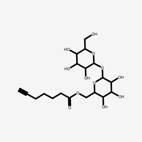 C#CCCCCC(=O)OCC1OC(OC2OC(CO)C(O)C(O)C2O)C(O)C(O)C1O